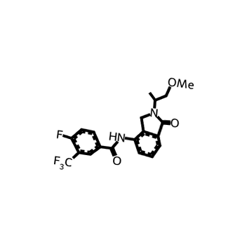 COCC(C)N1Cc2c(NC(=O)c3ccc(F)c(C(F)(F)F)c3)cccc2C1=O